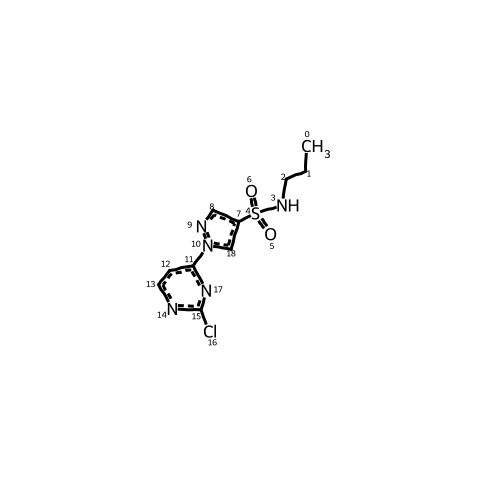 CCCNS(=O)(=O)c1cnn(-c2ccnc(Cl)n2)c1